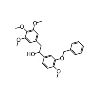 COc1ccc(C(O)Cc2cc(OC)c(OC)c(OC)c2)cc1OCc1ccccc1